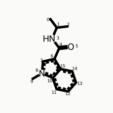 CC(C)NC(=O)c1cn(C)c2ccccc12